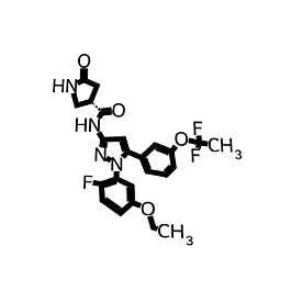 CCOc1ccc(F)c(-n2nc(NC(=O)[C@@H]3CNC(=O)C3)cc2-c2cccc(OC(C)(F)F)c2)c1